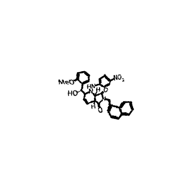 COc1ccccc1[C@@H](O)C1C=C[C@H]2C(=O)N(Cc3cccc4ccccc34)C(=O)[C@H]2N1Nc1ccc([N+](=O)[O-])cc1